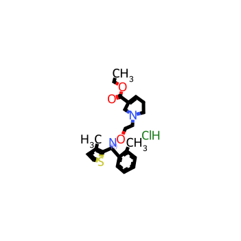 CCOC(=O)C1=CCCN(CCO/N=C(\c2ccccc2C)c2sccc2C)C1.Cl